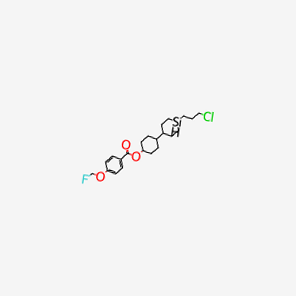 O=C(OC1CCC(C2CC[SiH](CCCCl)CC2)CC1)c1ccc(OCF)cc1